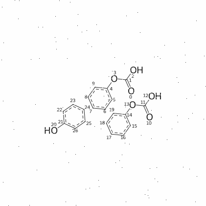 O=C(O)Oc1ccccc1.O=C(O)Oc1ccccc1.Oc1ccccc1